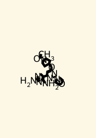 CC(=O)N1CCC(Oc2cc(-c3cnc(N)nc3N)nc(N3CCOCC3)n2)CC1